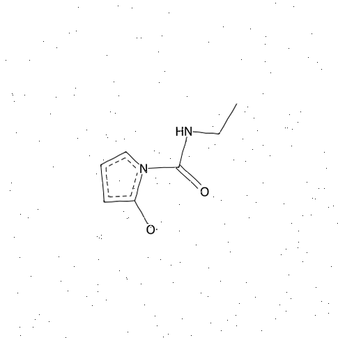 CCNC(=O)n1cccc1[O]